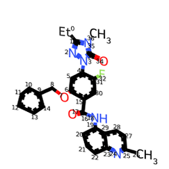 CCc1nn(-c2cc(OCc3ccccc3)c(C(=O)Nc3cccc4nc(C)ccc34)cc2F)c(=O)n1C